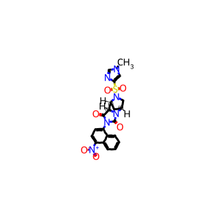 Cn1cnc(S(=O)(=O)N2C[C@@H]3C[C@H]2[C@@H]2C(=O)N(c4ccc([N+](=O)[O-])c5ccccc45)C(=O)N32)c1